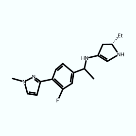 CC[C@H]1CC(NC(C)c2ccc(-c3ccn(C)n3)c(F)c2)=CN1